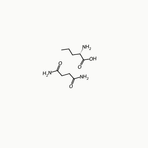 CCC[C@H](N)C(=O)O.NC(=O)CCC(N)=O